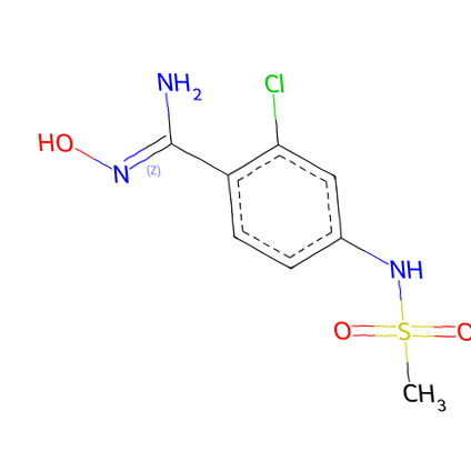 CS(=O)(=O)Nc1ccc(/C(N)=N/O)c(Cl)c1